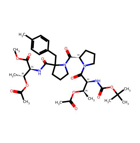 COC(=O)[C@@H](NC(=O)C1(Cc2ccc(C)cc2)CCCN1C(=O)[C@@H]1CCCN1C(=O)[C@@H](NC(=O)OC(C)(C)C)[C@@H](C)OC(C)=O)[C@@H](C)OC(C)=O